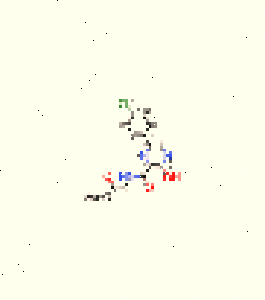 COC(=O)CNC(=O)c1nc(-c2ccc(Cl)cc2)cnc1O